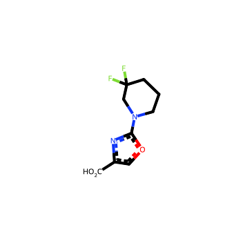 O=C(O)c1coc(N2CCCC(F)(F)C2)n1